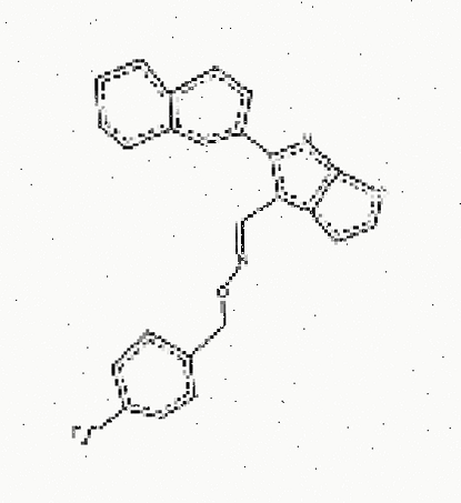 FC(F)(F)c1ccc(CON=Cc2c(-c3ccc4ccccc4c3)nc3occn23)cc1